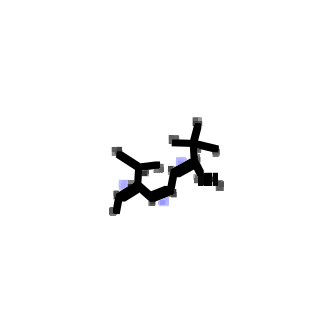 C\C=C(/C=C\C=C(/N)C(C)(C)C)C(C)C